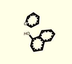 Oc1cccc2ccccc12.c1cc[o+]cc1